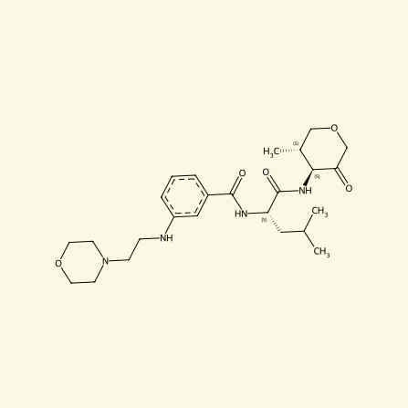 CC(C)C[C@H](NC(=O)c1cccc(NCCN2CCOCC2)c1)C(=O)N[C@@H]1C(=O)COC[C@H]1C